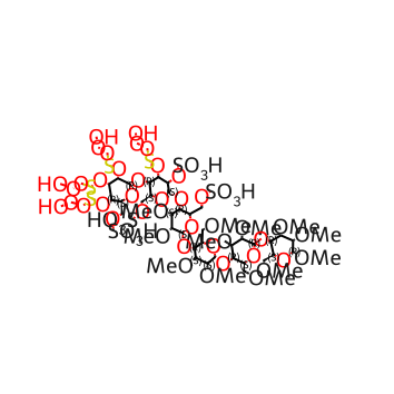 COCC1OC(O[C@H]2C(OC)C(OC)[C@@H](O[C@H]3C(OC)C(OC)[C@H](OC)O[C@H]3COC)O[C@H]2COC)[C@@H](OC)[C@@H](OC)[C@@H]1O[C@@H]1OC(COS(=O)(=O)O)[C@@H](O[C@@H]2O[C@@H](COS(=O)(=O)O)[C@@H](O[C@H]3O[C@@H](COS(=O)(=O)O)[C@@H](OSOOO)C(OSOOO)C3OSOOO)C(OSOOO)C2OS(=O)(=O)O)[C@H](OC)C1OC